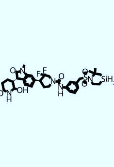 CN1C(=O)[C@@H](C2CCC(=O)NC2O)c2ccc([C@@H]3CCN(C(=O)Nc4cccc(CS(=O)(=O)N5CC[SiH2]CC5(C)C)c4)CC3(F)F)cc21